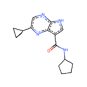 O=C(NC1CCCC1)c1c[nH]c2ncc(C3CC3)nc12